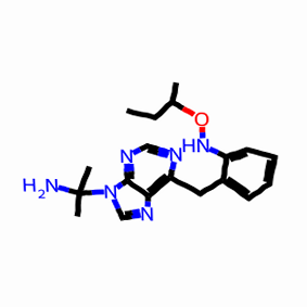 CCC(C)ONc1ccccc1Cc1ncnc2c1ncn2C(C)(C)N